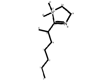 CCCCCC(C)C1=NCC[N+]1(C)C